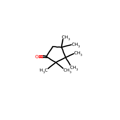 CC1(C)CC(=O)C(C)(C)C1(C)C